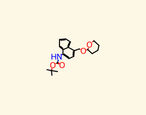 CC(C)(C)OC(=O)Nc1ccc(COC2CCCCO2)c2ccccc12